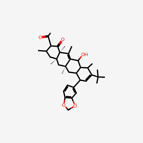 CC(=O)C1C(=O)[C@@]2(C)C(C)=C3C(O)C4C(C)C(C(C)(C)C)=CC(c5ccc6c(c5)OCO6)C4C[C@@]3(C)C[C@@]2(C)CC1C